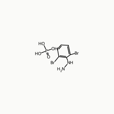 NNc1c(Br)cccc1Br.O=P(O)(O)O